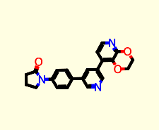 O=C1CCCN1c1ccc(-c2cncc(-c3ccnc4c3OCCO4)c2)cc1